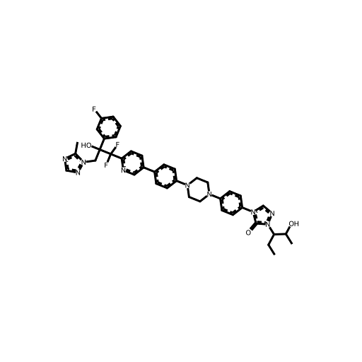 CCC(C(C)O)n1ncn(-c2ccc(N3CCN(c4ccc(-c5ccc(C(F)(F)C(O)(Cn6ncnc6C)c6cccc(F)c6)nc5)cc4)CC3)cc2)c1=O